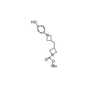 CC(C)(C)OC(=O)N1CC(CC2CN(c3ccc(O)cc3)C2)C1